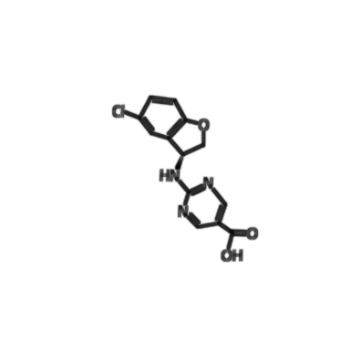 O=C(O)c1cnc(N[C@@H]2COc3ccc(Cl)cc32)nc1